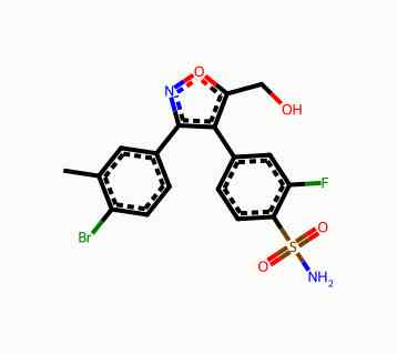 Cc1cc(-c2noc(CO)c2-c2ccc(S(N)(=O)=O)c(F)c2)ccc1Br